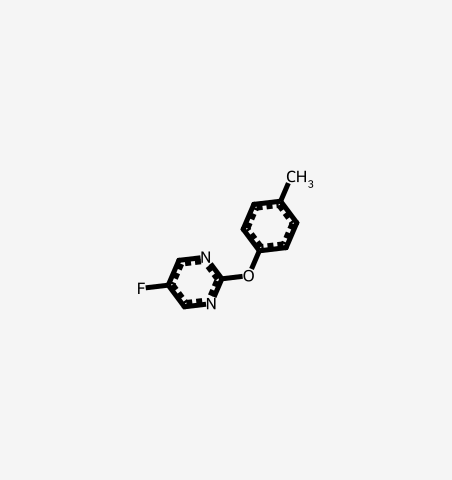 Cc1ccc(Oc2ncc(F)cn2)cc1